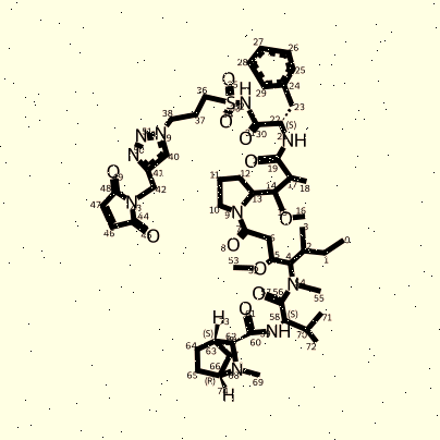 CCC(C)C(C(CC(=O)N1CCCC1C(OC)C(C)C(=O)N[C@@H](Cc1ccccc1)C(=O)NS(=O)(=O)CCCn1cc(CN2C(=O)C=CC2=O)nn1)OC)N(C)C(=O)[C@@H](NC(=O)[C@@H]1[C@H]2CC[C@H](C2)N1C)C(C)C